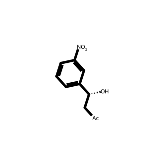 CC(=O)C[C@@H](O)c1cccc([N+](=O)[O-])c1